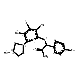 CCc1c(C#N)c(SC(C(N)=O)c2ccc(F)cc2)nc(N2CC[C@H](O)C2)c1C#N